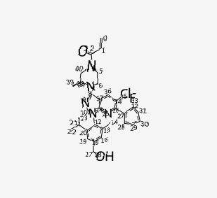 C=CC(=O)N1CCN(C2=NCN(c3c(C)cc(CO)cc3C(C)C)c3nc(-c4ccccc4F)c(Cl)cc32)[C@@H](C)C1